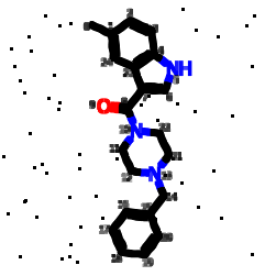 Cc1ccc2[nH]cc(C(=O)N3CCN(Cc4ccccc4)CC3)c2c1